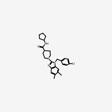 Cc1cc2nc(N3CCC(C(=O)NC4CCCC4)CC3)n(Cc3ccc(Cl)cc3)c2cc1C